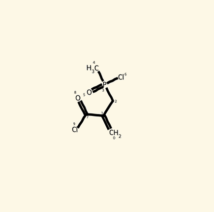 C=C(CP(C)(=O)Cl)C(=O)Cl